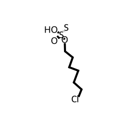 O=S(O)(=S)OCCCCCCCl